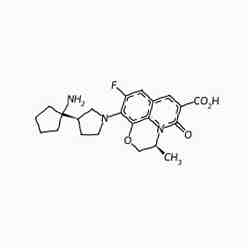 C[C@H]1COc2c(N3CC[C@@H](C4(N)CCCC4)C3)c(F)cc3cc(C(=O)O)c(=O)n1c23